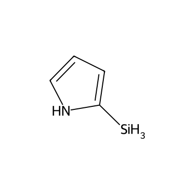 [SiH3]c1ccc[nH]1